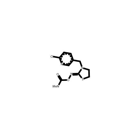 CNC(=O)ON=C1SCCN1Cc1ccc(Cl)nc1